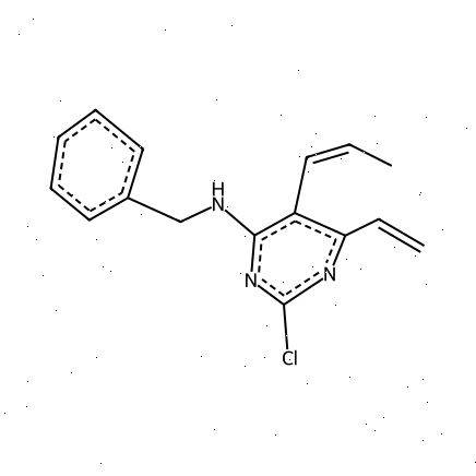 C=Cc1nc(Cl)nc(NCc2ccccc2)c1/C=C\C